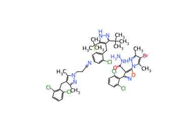 CC(C)(C)c1n[nH]c(C(C)(C)C)c1Cc1c(F)cccc1Cl.Cc1nn(-c2onc(-c3c(Cl)cccc3Cl)c2C(=O)NN)c(C)c1Br.Cc1nn(CCC#N)c(C)c1Cc1c(Cl)cccc1Cl